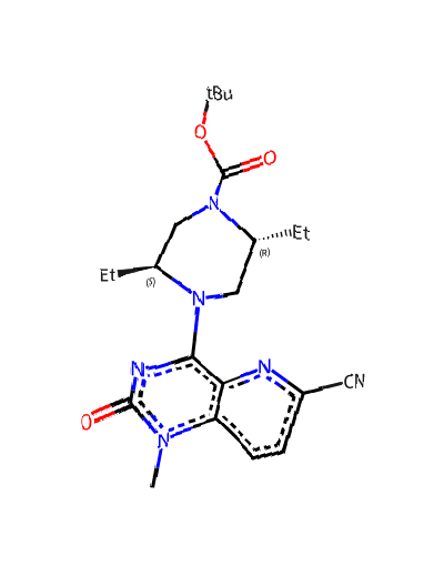 CC[C@@H]1CN(c2nc(=O)n(C)c3ccc(C#N)nc23)[C@@H](CC)CN1C(=O)OC(C)(C)C